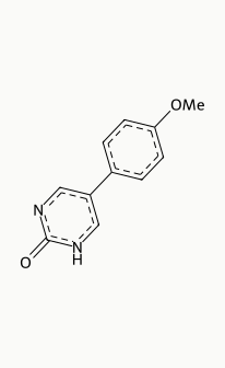 COc1ccc(-c2cnc(=O)[nH]c2)cc1